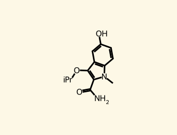 CC(C)Oc1c(C(N)=O)n(C)c2ccc(O)cc12